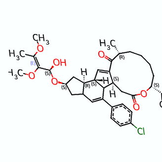 CC[C@H]1CCCC[C@@H](C)C(=O)C2=C[C@@H]3C(C(c4ccc(Cl)cc4)=CC4C[C@@H](O[C@H](O)/C(OC)=C(/C)OC)C[C@H]43)[C@@H]2CC(=O)O1